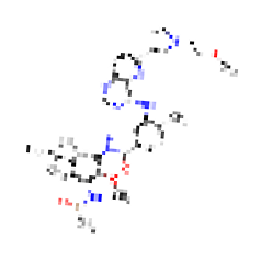 COCCN1CCC(c2ccc3ncnc(Nc4cc(C(=O)Nc5cc(C(C)(C)C)cc(N[S+](C)[O-])c5OC)ccc4C)c3n2)C1